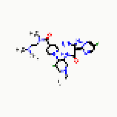 CCN1CC(F)C(N2CCC(C(=O)N(C)CCN(C)C)CC2)C(NC(=O)c2c(N)nn3cc(F)cnc23)C1